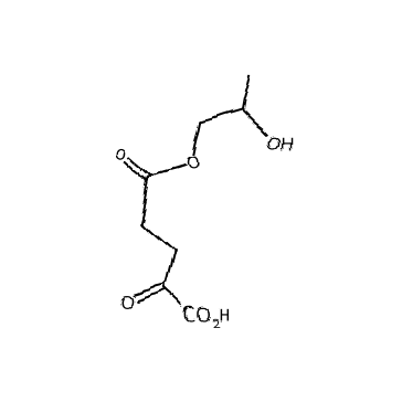 CC(O)COC(=O)CCC(=O)C(=O)O